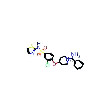 N[C@@H](c1ccccc1)N1CCC(Oc2ccc(S(=O)(=O)Nc3nccs3)cc2Cl)CC1